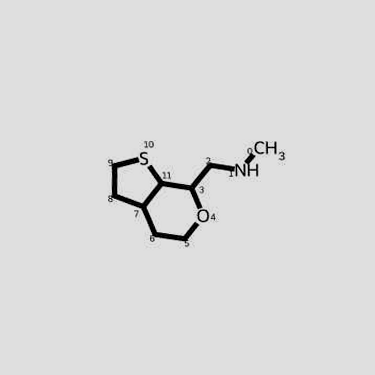 CNCC1OCCC2CCSC21